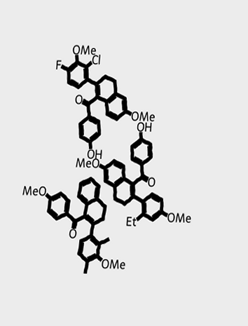 CCc1cc(OC)ccc1C1=C(C(=O)c2ccc(O)cc2)c2ccc(OC)cc2CC1.COc1ccc(C(=O)C2=C(c3ccc(C)c(OC)c3C)CCc3ccccc32)cc1.COc1ccc2c(c1)CCC(c1ccc(F)c(OC)c1Cl)=C2C(=O)c1ccc(O)cc1